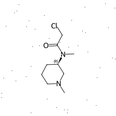 CN1CCC[C@@H](N(C)C(=O)CCl)C1